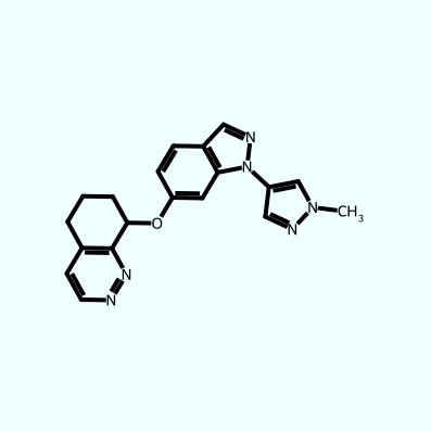 Cn1cc(-n2ncc3ccc(OC4CCCc5ccnnc54)cc32)cn1